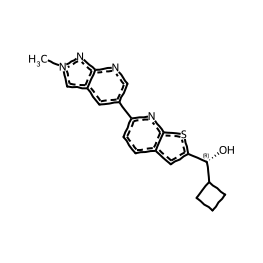 Cn1cc2cc(-c3ccc4cc([C@H](O)C5CCC5)sc4n3)cnc2n1